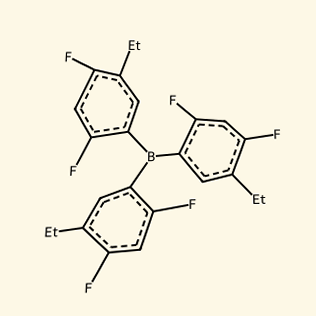 CCc1cc(B(c2cc(CC)c(F)cc2F)c2cc(CC)c(F)cc2F)c(F)cc1F